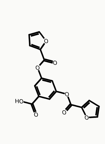 O=C(O)c1cc(OC(=O)c2ccco2)cc(OC(=O)c2ccco2)c1